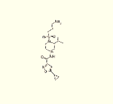 CC(C)C1C[C@H](NC(=O)c2cc(C3CC3)on2)CCN1S(=O)(=O)CCCN